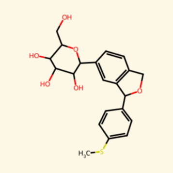 CSc1ccc(C2OCc3ccc(C4OC(CO)C(O)C(O)C4O)cc32)cc1